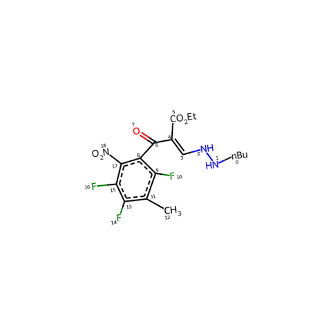 CCCCNNC=C(C(=O)OCC)C(=O)c1c(F)c(C)c(F)c(F)c1[N+](=O)[O-]